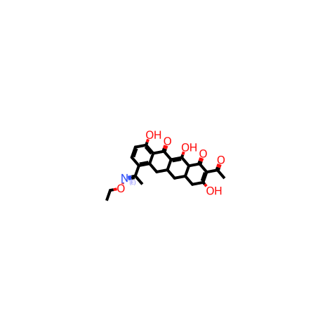 CCO/N=C(\C)c1ccc(O)c2c1CC1CC3CC(O)=C(C(C)=O)C(=O)C3C(O)=C1C2=O